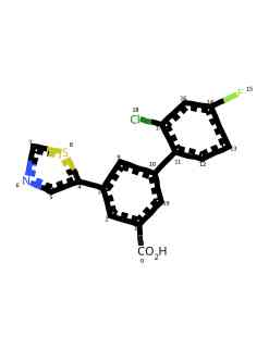 O=C(O)c1cc(-c2cncs2)cc(-c2ccc(F)cc2Cl)c1